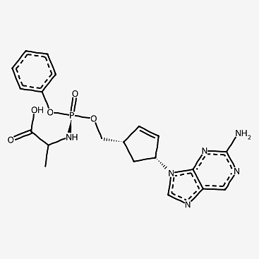 CC(N[P@@](=O)(OC[C@@H]1C=C[C@H](n2cnc3cnc(N)nc32)C1)Oc1ccccc1)C(=O)O